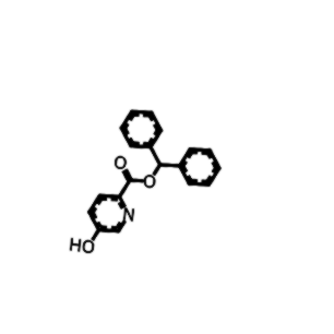 O=C(OC(c1ccccc1)c1ccccc1)c1ccc(O)cn1